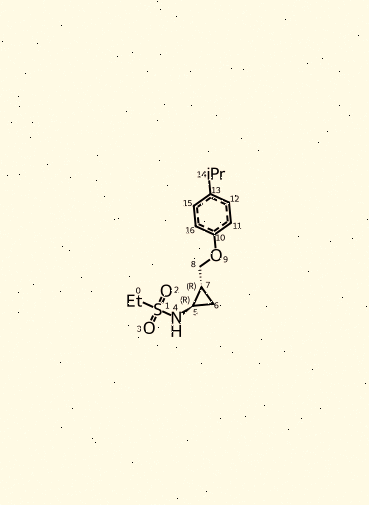 CCS(=O)(=O)N[C@@H]1C[C@H]1COc1ccc(C(C)C)cc1